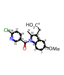 COc1ccc2c(c1)c(CC(=O)O)c(C)n2C(=O)c1ccc(Cl)nc1